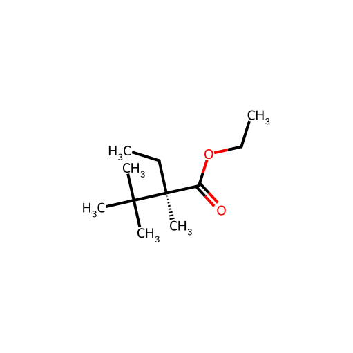 CCOC(=O)[C@](C)(CC)C(C)(C)C